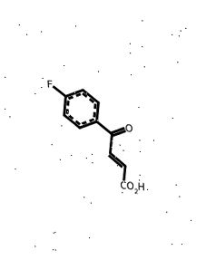 O=C(O)C=CC(=O)c1ccc(F)cc1